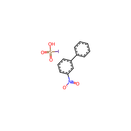 O=S(=O)(O)I.O=[N+]([O-])c1cccc(-c2ccccc2)c1